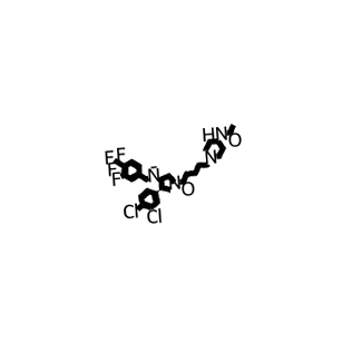 CC(=O)NC1CCN(CCCCC(=O)N2C[C@H](c3ccc(Cl)c(Cl)c3)[C@@H](N(C)Cc3ccc(C(F)(F)F)c(F)c3)C2)CC1